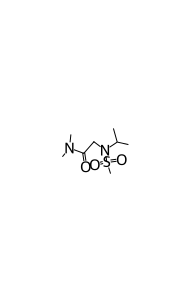 CC(C)N(CC(=O)N(C)C)S(C)(=O)=O